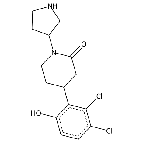 O=C1CC(c2c(O)ccc(Cl)c2Cl)CCN1C1CCNC1